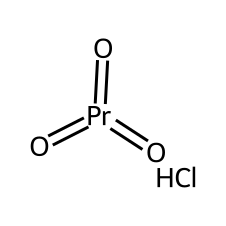 Cl.[O]=[Pr](=[O])=[O]